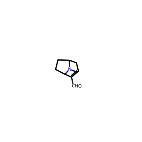 CN1C2CC=C(C=O)C1CC2